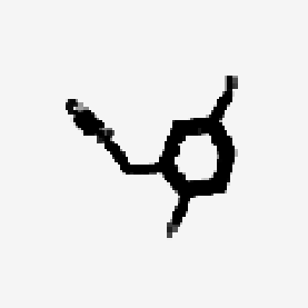 [C-]#[N+]Cc1cc(F)ccc1F